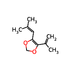 C=C(C)C1=C(C=C(C)C)OCO1